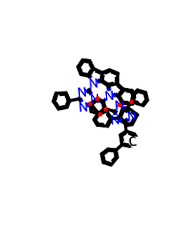 c1ccc(-c2cccc(-c3nc(-c4ccccc4)nc(-c4ccccc4-n4c5ccccc5c5ccc6c7ccccc7n(-c7nc(-c8ccccc8)nc(-c8cccc(-c9ccccc9)c8)n7)c6c54)n3)c2)cc1